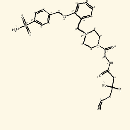 C=CCC(CC)(CC)CC(=O)NCC(=O)N1CCN(Cc2ccccc2OCc2ccc(S(N)(=O)=O)cc2)CC1